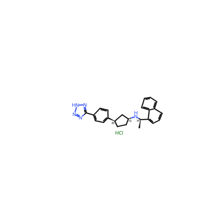 C[C@@H](N[C@H]1CC[C@@H](c2ccc(-c3nn[nH]n3)cc2)C1)c1cccc2ccccc12.Cl